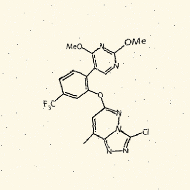 COc1ncc(-c2ccc(C(F)(F)F)cc2Oc2cc(C)c3nnc(Cl)n3n2)c(OC)n1